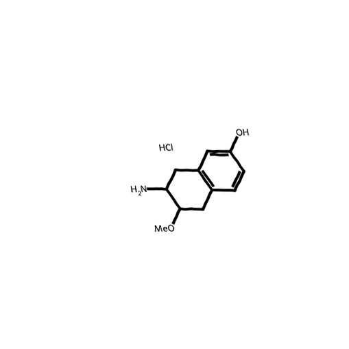 COC1Cc2ccc(O)cc2CC1N.Cl